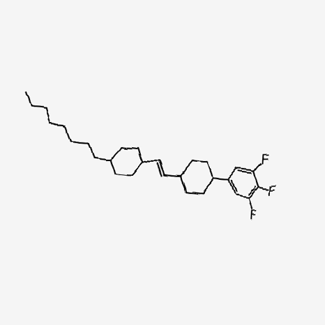 CCCCCCCCC1CCC(/C=C/C2CCC(c3cc(F)c(F)c(F)c3)CC2)CC1